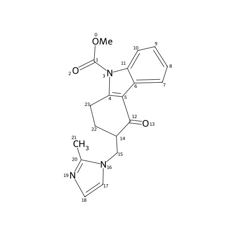 COC(=O)n1c2c(c3ccccc31)C(=O)C(Cn1ccnc1C)CC2